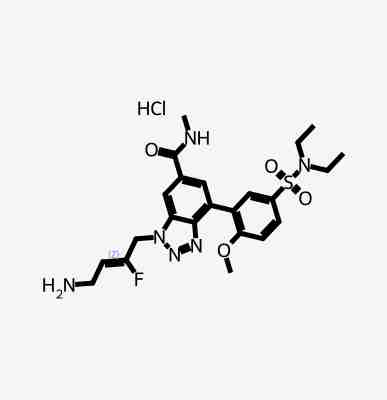 CCN(CC)S(=O)(=O)c1ccc(OC)c(-c2cc(C(=O)NC)cc3c2nnn3C/C(F)=C/CN)c1.Cl